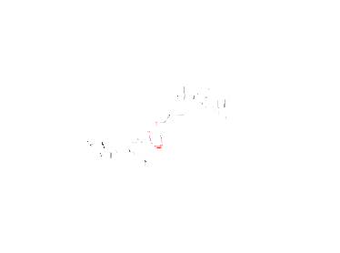 CC(C)(C)C(=O)NCC(=O)OCCCCCC(C)(C)C(C)(C)C